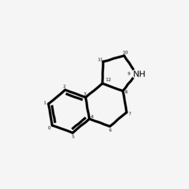 c1ccc2c(c1)CCC1NCCC21